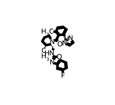 Cc1cccc(-n2nccn2)c1C(=O)N1CCC[C@@H](C)[C@H]1CNc1nc2cc(F)ccc2o1